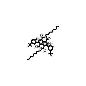 CCCCCCCCN1C(=O)c2c3[nH]c4ccc(C(C)(C)C)cc4c3c3c4c(c5c([nH]c6ccc(C(C)(C)C)cc65)c(c24)C1=O)C(=O)N(CCCCCCCC)C3=O